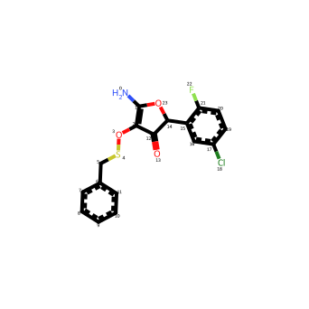 NC1=C(OSCc2ccccc2)C(=O)C(c2cc(Cl)ccc2F)O1